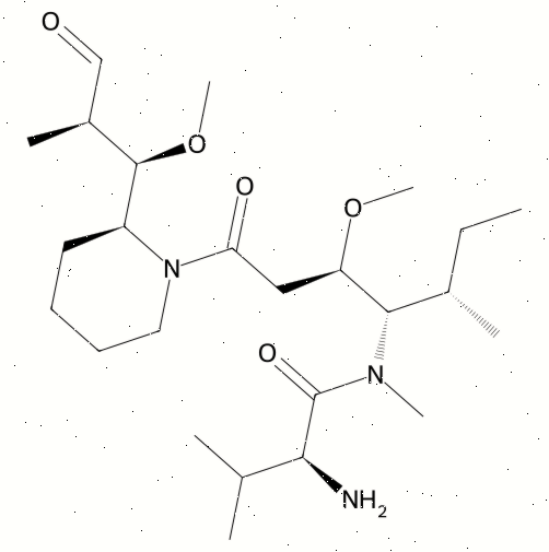 CC[C@H](C)[C@@H]([C@@H](CC(=O)N1CCCC[C@H]1[C@H](OC)[C@@H](C)C=O)OC)N(C)C(=O)[C@@H](N)C(C)C